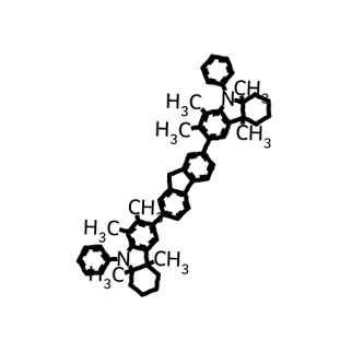 Cc1c(-c2ccc3c(c2)Cc2cc(-c4cc5c(c(C)c4C)N(c4ccccc4)C4(C)CCCCC54C)ccc2-3)cc2c(c1C)N(c1ccccc1)C1(C)CCCCC21C